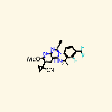 C#Cc1nc(N[C@H](C)c2cccc(C(F)F)c2F)c2cc(C3(C#N)CC3)c(OC)nc2n1